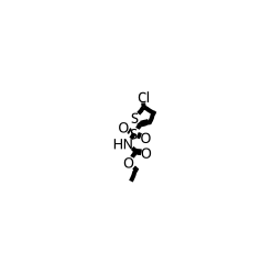 CCOC(=O)NS(=O)(=O)C1=CCC(Cl)S1